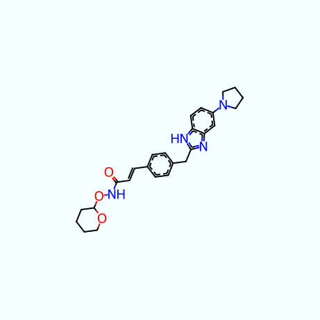 O=C(/C=C/c1ccc(Cc2nc3cc(N4CCCC4)ccc3[nH]2)cc1)NOC1CCCCO1